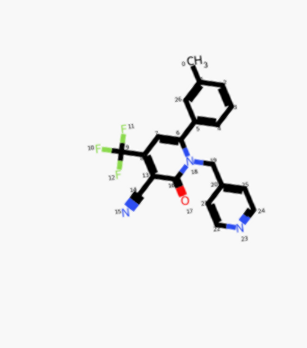 Cc1cccc(-c2cc(C(F)(F)F)c(C#N)c(=O)n2Cc2ccncc2)c1